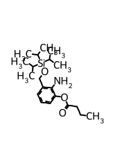 CCCC(=O)Oc1cccc(CO[Si](C(C)C)(C(C)C)C(C)C)c1N